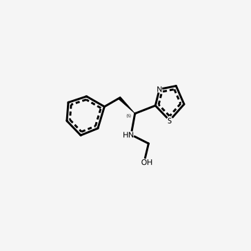 OCN[C@@H](Cc1ccccc1)c1nccs1